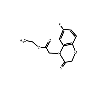 CCOC(=O)CN1C(=S)COc2ccc(F)cc21